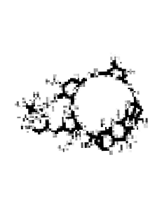 C=C1C[C@@H]2CCC34C[C@@H]5O[C@@H]6[C@@H](O[C@H]7CCC(CC(O)C[C@H]8[C@H](CC9O[C@@H](CCC1O2)C[C@@H](C)C9=C)OC(C[C@@H](CN)O[Si](C)(C)C(C)(C)C)[C@@H]8OC)O[C@@H]7[C@@H]6O3)[C@H]5O4